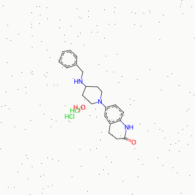 Cl.Cl.O.O=C1CCc2cc(N3CCC(NCc4ccccc4)CC3)ccc2N1